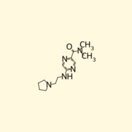 CN(C)C(=O)c1cnc(NCCN2CCCC2)cn1